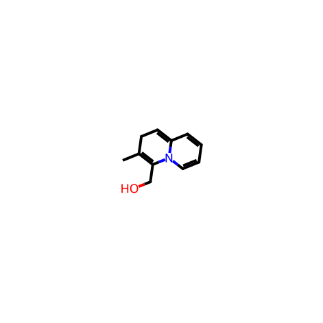 CC1=C(CO)N2C=CC=CC2=CC1